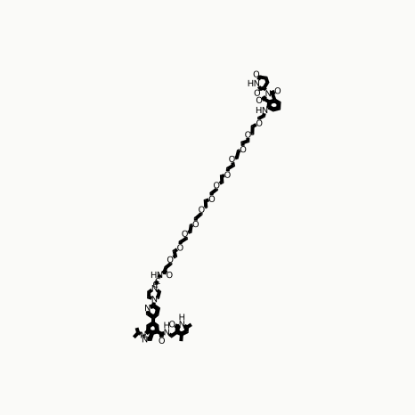 Cc1cc(C)c(CNC(=O)c2cc(-c3ccc(N4CCN(CCNC(=O)CCOCCOCCOCCOCCOCCOCCOCCOCCOCCOCCOCCOCCNc5cccc6c5C(=O)N(C5CCC(=O)NC5=O)C6=O)CC4)nc3)cc3c2cnn3C(C)C)c(=O)[nH]1